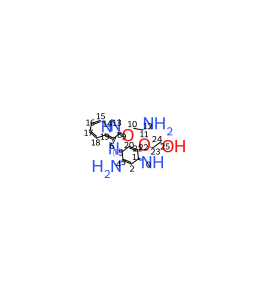 N=C1C=C(N)/C(=N/c2c(OCCN)nn3ccccc23)C=C1OCCO